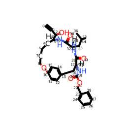 C#CC(O)[C@@H]1CCCCOc2ccc(cc2)C[C@H](NC(=O)OCc2ccccc2)C(=O)N[C@@H](CC(C)C)C(=O)N1